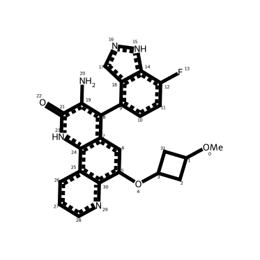 COC1CC(Oc2cc3c(-c4ccc(F)c5[nH]ncc45)c(N)c(=O)[nH]c3c3cccnc23)C1